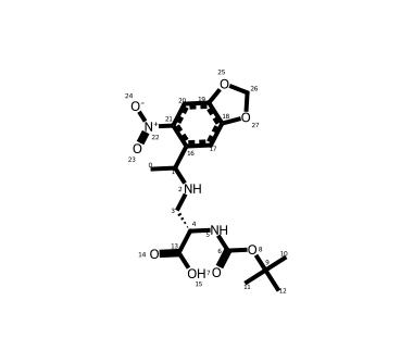 CC(NC[C@H](NC(=O)OC(C)(C)C)C(=O)O)c1cc2c(cc1[N+](=O)[O-])OCO2